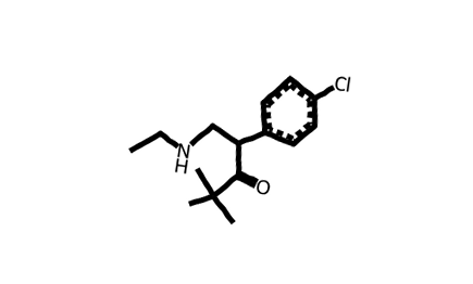 CCNCC(C(=O)C(C)(C)C)c1ccc(Cl)cc1